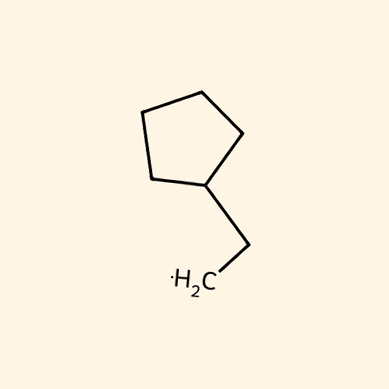 [CH2]CC1CCCC1